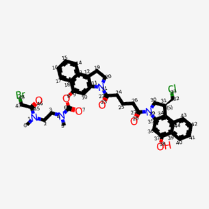 CN(CCN(C)C(=O)Oc1cc2c(c3ccccc13)CCN2C(=O)CCCC(=O)N1C[C@@H](CCl)c2c1cc(O)c1ccccc21)C(=O)CBr